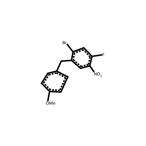 COc1ccc(Cc2cc([N+](=O)[O-])c(F)cc2Br)cc1